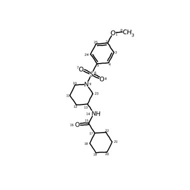 COc1ccc(S(=O)(=O)N2CCCC(NC(=O)C3CCCCC3)C2)cc1